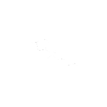 CCCCCP(=O)(O)C1CCC(N)C1